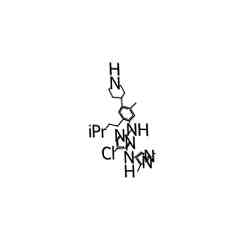 Cc1cc(Nc2ncc(Cl)c(Nc3cn(C)nc3C)n2)c(CCC(C)C)cc1C1CCNCC1